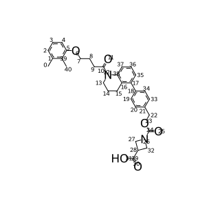 Cc1cccc(OCCCC(=O)N2CCCc3c(-c4ccc(COC(=O)N5CC(C(=O)O)C5)cc4)cccc32)c1C